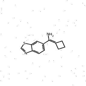 NC(=C1CCC1)c1ccc2ncsc2c1